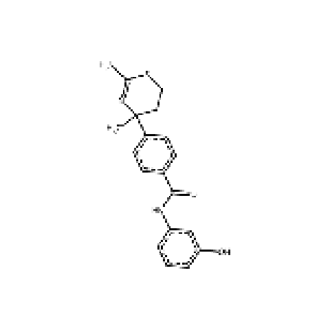 CC1(c2ccc(C(=O)Nc3cccc(O)c3)cc2)CCSC(N)=N1